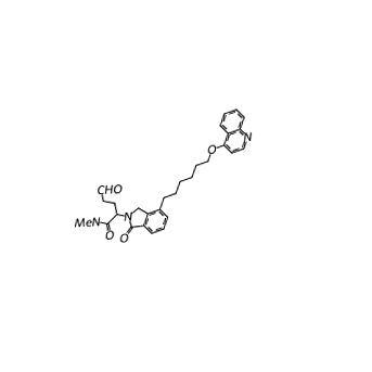 CNC(=O)C(CCC=O)N1Cc2c(CCCCCCOc3ccnc4ccccc34)cccc2C1=O